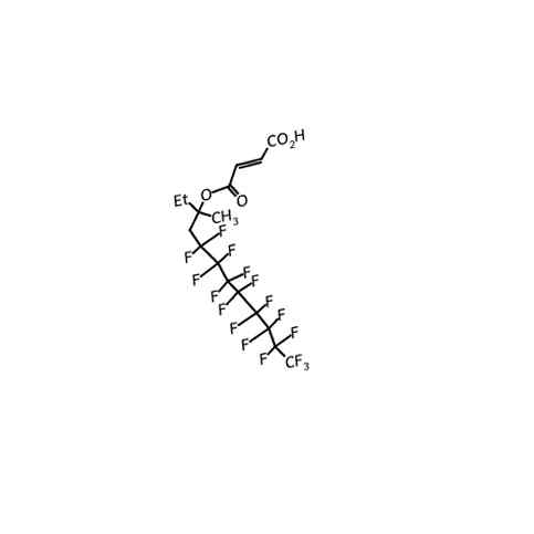 CCC(C)(CC(F)(F)C(F)(F)C(F)(F)C(F)(F)C(F)(F)C(F)(F)C(F)(F)C(F)(F)F)OC(=O)/C=C/C(=O)O